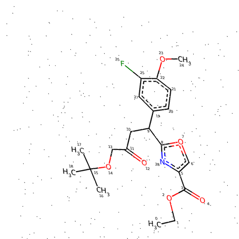 CCOC(=O)c1coc(C(CC(=O)COC(C)(C)C)c2ccc(OC)c(F)c2)n1